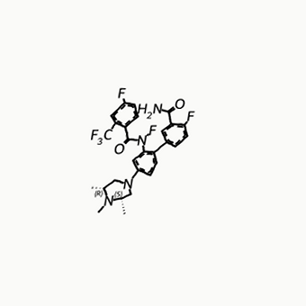 C[C@@H]1CN(c2ccc(-c3ccc(F)c(C(N)=O)c3)c(N(F)C(=O)c3ccc(F)cc3C(F)(F)F)c2)C[C@H](C)N1C